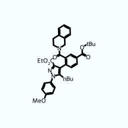 CCCCc1c(-c2ccc(C(=O)OC(C)(C)C)cc2C(=O)N2CCc3ccccc3C2)c(C(=O)OCC)nn1-c1ccc(OC)cc1